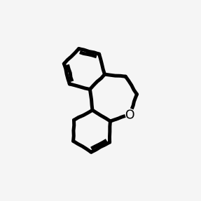 C1=CC2CCOC3C=CCCC3C2C=C1